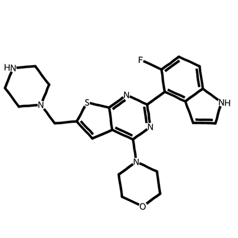 Fc1ccc2[nH]ccc2c1-c1nc(N2CCOCC2)c2cc(CN3CCNCC3)sc2n1